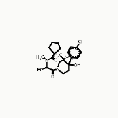 CC(C)C(C(=O)N1CCC(O)(c2ccc(Cl)cc2)C(C)(C)C1)N(C)C(=O)C1CCCC1